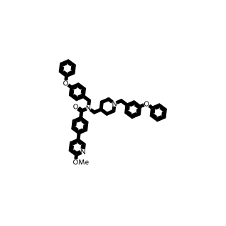 COc1ccc(-c2ccc(C(=O)N(Cc3ccc(Oc4ccccc4)cc3)CC3CCN(Cc4cccc(Oc5ccccc5)c4)CC3)cc2)cn1